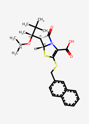 C[SiH](C)O[C@@](C)([C@@H]1C(=O)N2C(C(=O)O)=C(SCc3ccc4ccccc4c3)S[C@H]12)C(C)(C)C